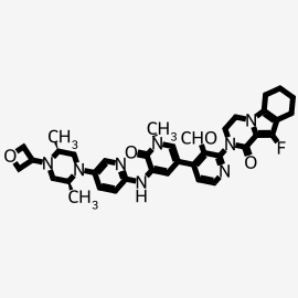 C[C@@H]1CN(c2ccc(Nc3cc(-c4ccnc(N5CCn6c7c(c(F)c6C5=O)CCCC7)c4C=O)cn(C)c3=O)nc2)[C@@H](C)CN1C1COC1